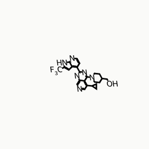 OCC1CCN(c2nc(-c3ccnc4[nH]c(C(F)(F)F)cc34)nc3cncc(C4CC4)c23)CC1